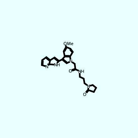 COc1ccc2c(c1)c(-c1cc3cccnc3[nH]1)cn2CC(=O)NCCCN1CCCC1=O